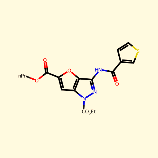 CCCOC(=O)c1cc2c(o1)c(NC(=O)c1ccsc1)nn2C(=O)OCC